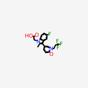 Cc1c(-c2ccc(=O)n(CCC(F)(F)F)c2)c2cc(F)ccc2n1CC(=O)O